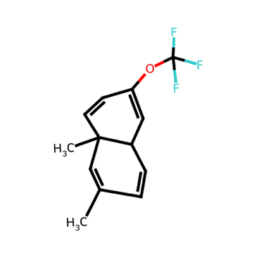 CC1=CC2(C)C=CC(OC(F)(F)F)=CC2C=C1